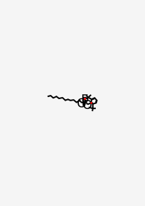 CCCCCCCCCCCCOP(F)Oc1c(C(C)(C)C)cccc1C(C)(C)C